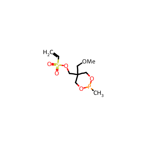 C=CS(=O)(=O)OCC1(COC)COP(C)OC1